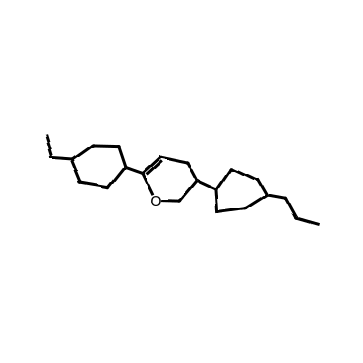 CCCC1CCC(C2CC=C(C3CCC(CC)CC3)OC2)CC1